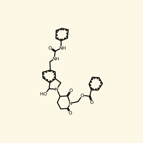 O=C(NCc1ccc2c(c1)CN(C1CCC(=O)N(COC(=O)c3ccccc3)C1=O)C2O)Nc1ccccc1